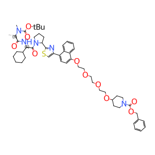 C[C@@H](C(=O)N[C@H](C(=O)N1CCCC1c1nc(-c2ccc(OCCOCCOCCOC3CCN(C(=O)OCc4ccccc4)CC3)c3ccccc23)cs1)C1CCCCC1)N(C)C(=O)OC(C)(C)C